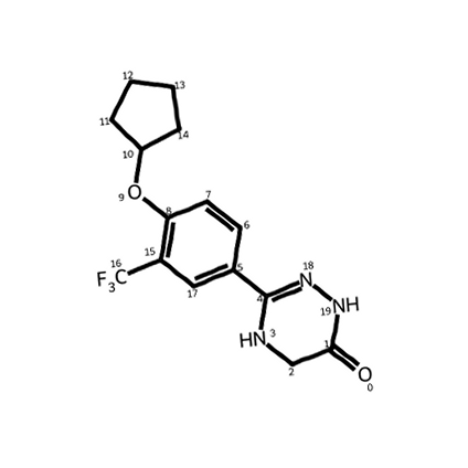 O=C1CNC(c2ccc(OC3CCCC3)c(C(F)(F)F)c2)=NN1